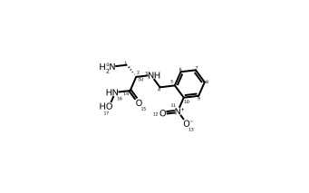 NC[C@H](NCc1ccccc1[N+](=O)[O-])C(=O)NO